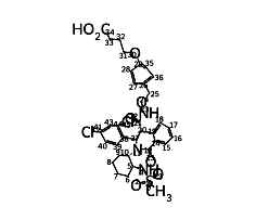 CS(=O)(=O)N[C@H]1CCCC[C@@H]1N1C(=O)c2ccccc2[C@@H](C(=O)NOCc2ccc(OCCCC(=O)O)cc2)[C@@H]1c1ccc(Cl)cc1Cl